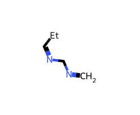 C=NC/N=C\CC